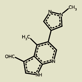 Cc1c(-c2cnn(C)c2)cnc2[nH]cc(C=O)c12